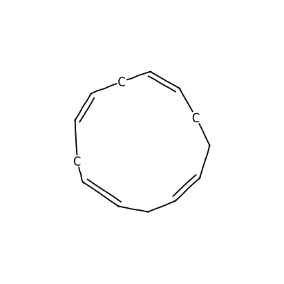 C1=CCC=CCCC=CCC=CC1